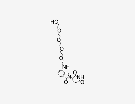 O=C1CCC(N2Cc3c(NCCOCCOCCOCCOCCO)cccc3C2=O)C(=O)N1